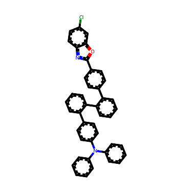 Clc1ccc2nc(-c3ccc(-c4ccccc4-c4ccccc4-c4ccc(N(c5ccccc5)c5ccccc5)cc4)cc3)oc2c1